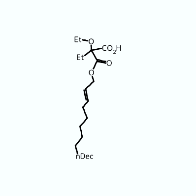 CCCCCCCCCCCCCCCC=CCOC(=O)C(CC)(OCC)C(=O)O